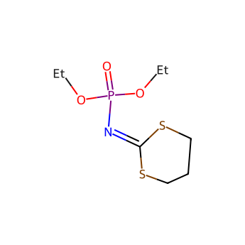 CCOP(=O)(N=C1SCCCS1)OCC